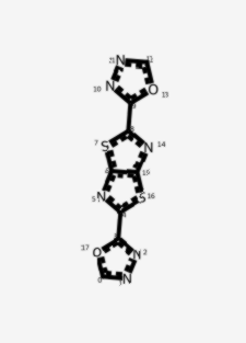 c1nnc(-c2nc3sc(-c4nnco4)nc3s2)o1